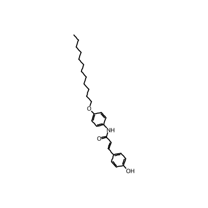 CCCCCCCCCCCCOc1ccc(NC(=O)/C=C/c2ccc(O)cc2)cc1